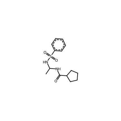 CC(NC(=O)C1CCCC1)NS(=O)(=O)c1ccccc1